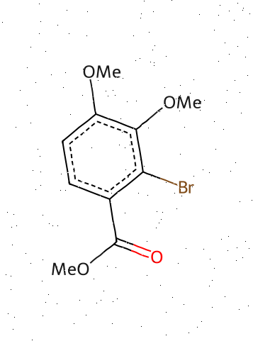 COC(=O)c1ccc(OC)c(OC)c1Br